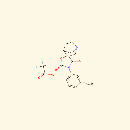 CCOC(=O)c1cccc(N2C(=O)OC3(CN4CCC3CC4)C2=O)c1.O=C(O)C(F)(F)F